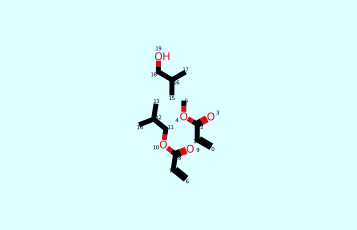 C=CC(=O)OC.C=CC(=O)OCC(C)C.CC(C)CO